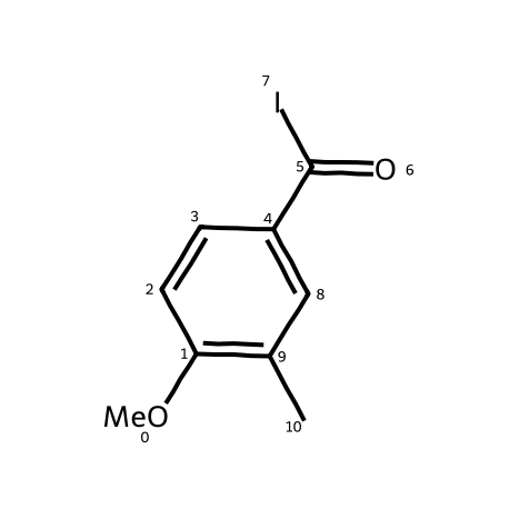 COc1ccc(C(=O)I)cc1C